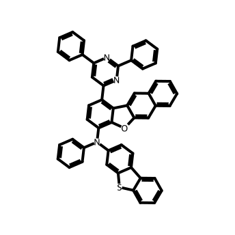 c1ccc(-c2cc(-c3ccc(N(c4ccccc4)c4ccc5c(c4)sc4ccccc45)c4oc5cc6ccccc6cc5c34)nc(-c3ccccc3)n2)cc1